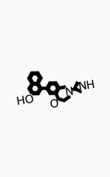 O=C1CCN(C2CNC2)Cc2ccc(-c3cc(O)cc4ccccc34)cc21